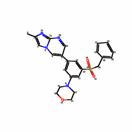 Cc1cn2cc(-c3cc(N4CCOCC4)cc(S(=O)(=O)Cc4ccccc4)c3)cnc2n1